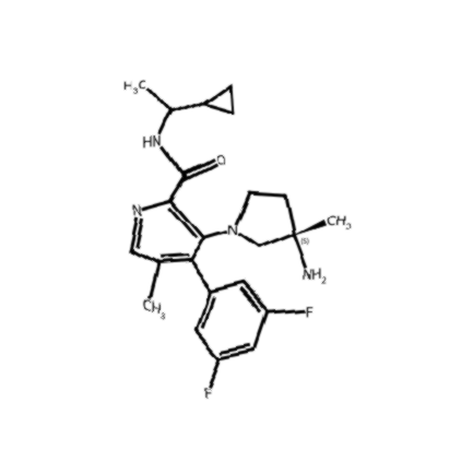 Cc1cnc(C(=O)NC(C)C2CC2)c(N2CC[C@](C)(N)C2)c1-c1cc(F)cc(F)c1